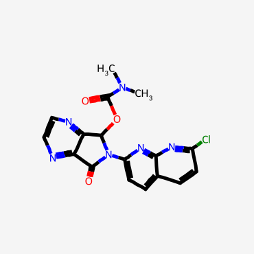 CN(C)C(=O)OC1c2nccnc2C(=O)N1c1ccc2ccc(Cl)nc2n1